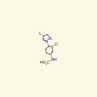 O=C(O)Nc1ccc(-n2cc(I)cn2)c(Cl)c1